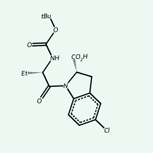 CC[C@H](NC(=O)OC(C)(C)C)C(=O)N1c2ccc(Cl)cc2C[C@H]1C(=O)O